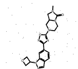 CN1CC2CN(c3nc(-c4ccc5cnn(C6COC6)c5c4)no3)CCN2C1=O